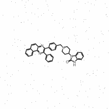 O=c1[nH]c2ccccc2n1C1CCN(Cc2ccc(-c3nc4ccc5ccccc5c4nc3-c3ccccc3)cc2)CC1